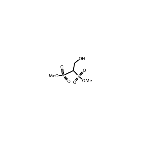 COS(=O)(=O)C(CO)S(=O)(=O)OC